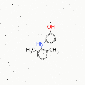 Cc1cccc(C)c1Nc1cccc(O)c1